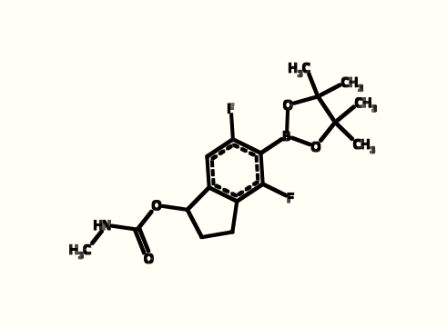 CNC(=O)OC1CCc2c1cc(F)c(B1OC(C)(C)C(C)(C)O1)c2F